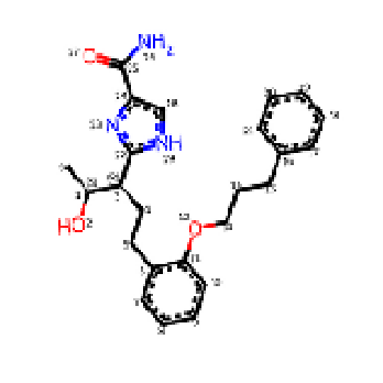 C[C@H](O)[C@H](CCc1ccccc1OCCCc1ccccc1)c1nc(C(N)=O)c[nH]1